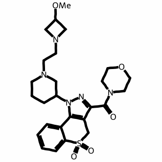 COC1CN(CCN2CCCC(n3nc(C(=O)N4CCOCC4)c4c3-c3ccccc3S(=O)(=O)C4)C2)C1